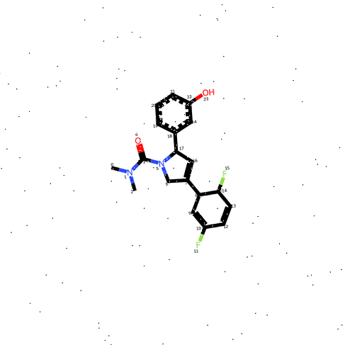 CN(C)C(=O)N1CC(C2C=C(F)C=CC2F)=CC1c1cccc(O)c1